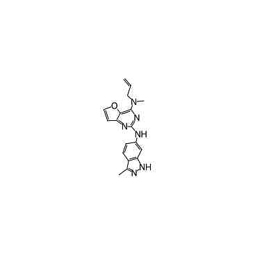 C=CCN(C)c1nc(Nc2ccc3c(C)n[nH]c3c2)nc2ccoc12